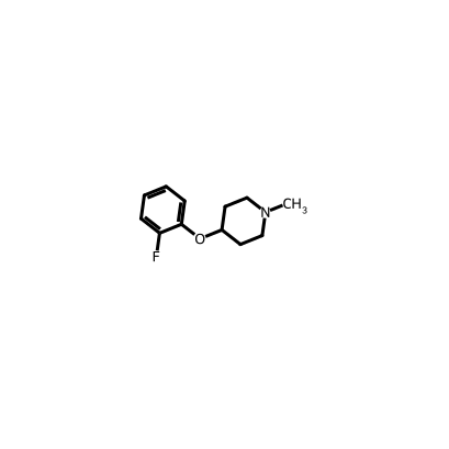 CN1CCC(Oc2ccccc2F)CC1